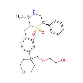 C[C@@H]1NC[C@@H](c2ccccc2)S(=O)(=O)C1Cc1ccc(C2(COCCO)CCOCC2)cc1F